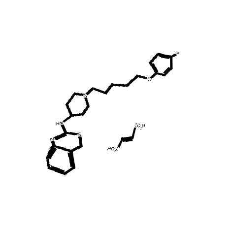 Fc1ccc(OCCCCCN2CCC(NC3=Nc4ccccc4CS3)CC2)cc1.O=C(O)C=CC(=O)O